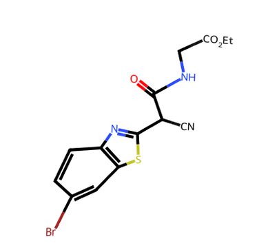 CCOC(=O)CNC(=O)C(C#N)c1nc2ccc(Br)cc2s1